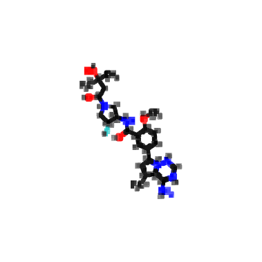 CC(O)(CC(=O)N1C[C@H](F)[C@H](NC(=O)c2cc(-c3cc(C(F)(F)F)c4c(N)ncnn34)ccc2OC(F)(F)F)C1)C(F)(F)F